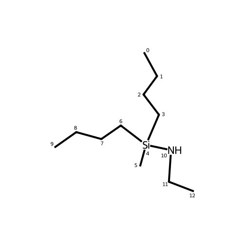 CCCC[Si](C)(CCCC)NCC